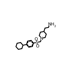 NCCC1CCN(CS(=O)(=O)c2ccc(C3CCCCC3)cc2)CC1